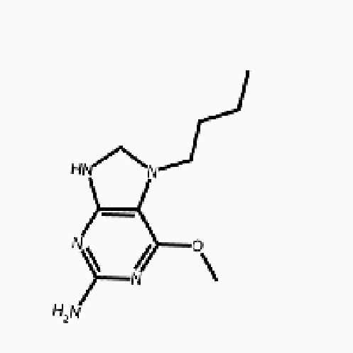 CCCCN1CNc2nc(N)nc(OC)c21